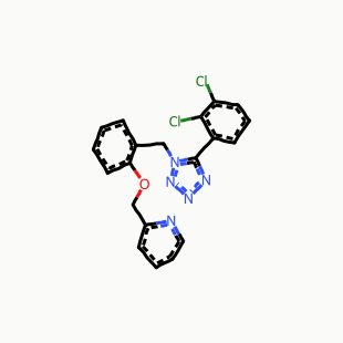 Clc1cccc(-c2nnnn2Cc2ccccc2OCc2ccccn2)c1Cl